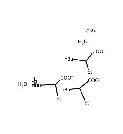 CCCCC(CC)C(=O)[O-].CCCCC(CC)C(=O)[O-].CCCCC(CC)C(=O)[O-].O.O.O.[Cr+3]